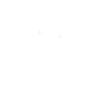 CC(=O)c1ccc2c(c1)=NC(=O)N=2